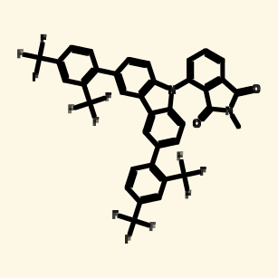 CN1C(=O)c2cccc(-n3c4ccc(-c5ccc(C(F)(F)F)cc5C(F)(F)F)cc4c4cc(-c5ccc(C(F)(F)F)cc5C(F)(F)F)ccc43)c2C1=O